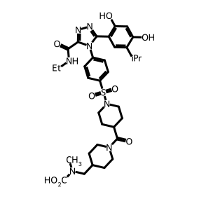 CCNC(=O)c1nnc(-c2cc(C(C)C)c(O)cc2O)n1-c1ccc(S(=O)(=O)N2CCC(C(=O)N3CCC(CN(C)C(=O)O)CC3)CC2)cc1